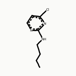 CCCCNc1nccc(Cl)n1